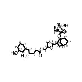 CC(CCC(=O)OCC1COC(C2CC3CCCC(OC(=O)C(F)(F)S(=O)(=O)O)(C3)C2)O1)CC1CCCC(O)C1